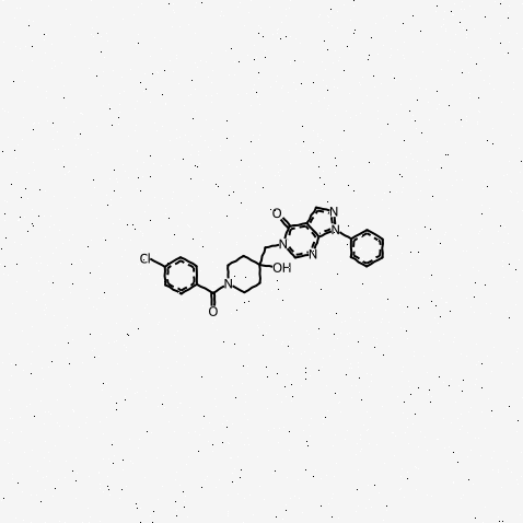 O=C(c1ccc(Cl)cc1)N1CCC(O)(Cn2cnc3c(cnn3-c3ccccc3)c2=O)CC1